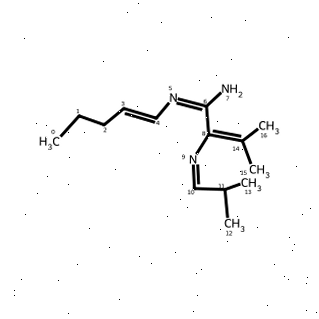 CCC/C=C/N=C(/N)C(/N=C\C(C)C)=C(C)C